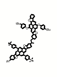 CC(C)c1ccc2c(c1)oc1c2cc2c(-c3ccc([Si](C)(C)C)cc3)cc3c4oc5cc(C(C)Cc6ccc7oc8c(cc9c(Oc%10ccc(C(C)(C)C)cc%10)cc%10c%11oc%12ccccc%12c%11cc%11c(Oc%12ccc(C(C)(C)C)cc%12)cc8c9c%11%10)c7c6)ccc5c4cc4c(-c5ccc([Si](C)(C)C)cc5)cc1c2c43